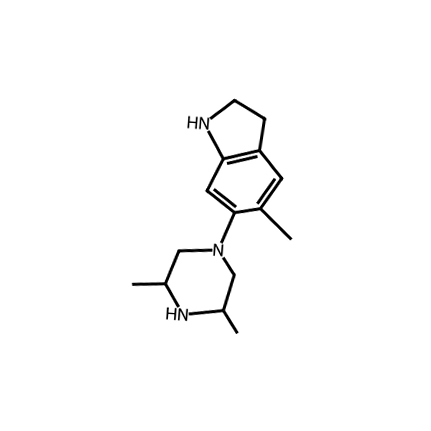 Cc1cc2c(cc1N1CC(C)NC(C)C1)NCC2